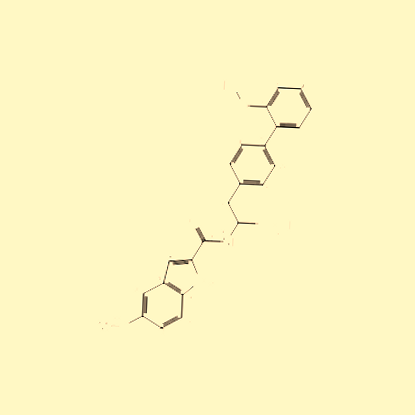 CCOc1ccccc1-c1ccc(CC(NC(=O)c2cc3cc(OC)ccc3o2)C(=O)O)cc1